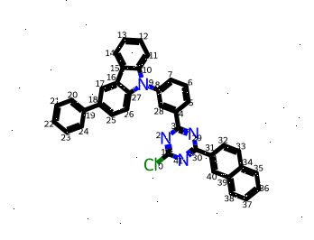 Clc1nc(-c2cccc(-n3c4ccccc4c4cc(-c5ccccc5)ccc43)c2)nc(-c2ccc3ccccc3c2)n1